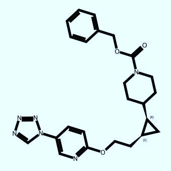 O=C(OCc1ccccc1)N1CCC([C@H]2C[C@H]2CCOc2ccc(-n3cnnn3)cn2)CC1